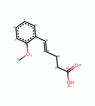 COc1ccccc1C=CCCC(=O)O